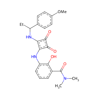 CCC(Nc1c(Nc2cccc(C(=O)N(C)C)c2O)c(=O)c1=O)c1ccc(OC)cc1